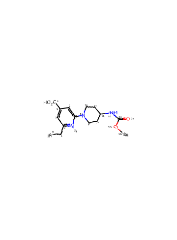 CC(C)Cc1cc(C(=O)O)cc(N2CCC(NC(=O)OC(C)(C)C)CC2)n1